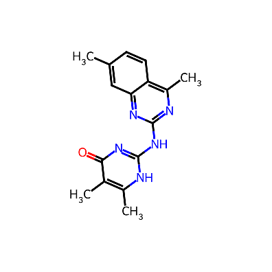 Cc1ccc2c(C)nc(Nc3nc(=O)c(C)c(C)[nH]3)nc2c1